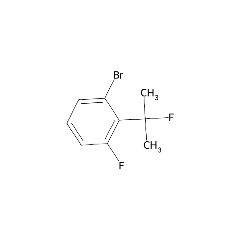 CC(C)(F)c1c(F)cccc1Br